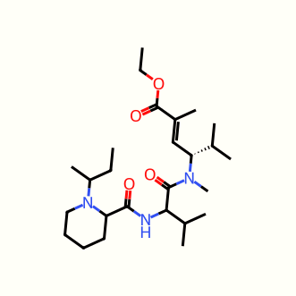 CCOC(=O)/C(C)=C/[C@H](C(C)C)N(C)C(=O)C(NC(=O)C1CCCCN1C(C)CC)C(C)C